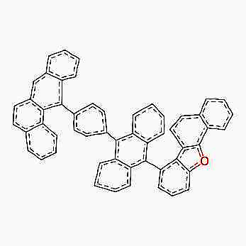 c1ccc2c(-c3ccc(-c4c5ccccc5c(-c5cccc6oc7c8ccccc8ccc7c56)c5ccccc45)cc3)c3c(ccc4ccccc43)cc2c1